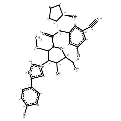 COC1C(C(=O)N(c2cc(Cl)cc(C#N)c2)[C@@H]2CCC[C@H]2O)OC(CO)C(O)C1n1cc(-c2ccc(Br)cc2)nn1